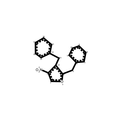 O=[N+]([O-])c1[c]oc(Cc2ccccc2)c1Cc1ccccc1